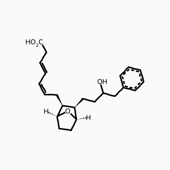 O=C(O)CC=C/C=C\C[C@H]1[C@@H](CCC(O)Cc2ccccc2)[C@H]2CC[C@@H]1O2